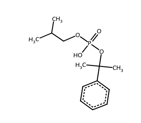 CC(C)COP(=O)(O)OC(C)(C)c1ccccc1